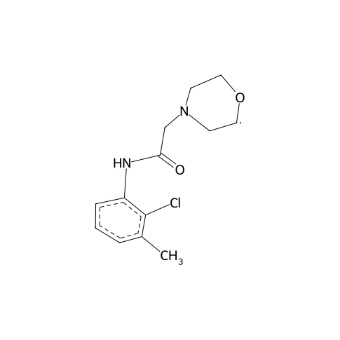 Cc1cccc(NC(=O)CN2C[CH]OCC2)c1Cl